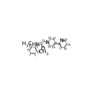 Cc1cccc(C)c1NC(=O)CN1CC=C(c2ccccn2)CC1